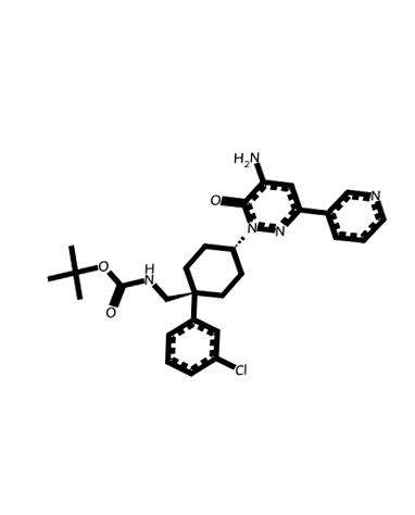 CC(C)(C)OC(=O)NC[C@]1(c2cccc(Cl)c2)CC[C@@H](n2nc(-c3cccnc3)cc(N)c2=O)CC1